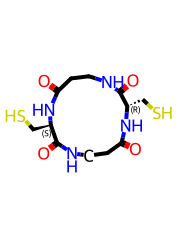 O=C1CCNC(=O)[C@@H](CS)NC(=O)CCNC(=O)[C@H](CS)N1